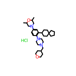 CC1CN(c2ccc(N3CCN(CC4CCOCC4)CC3)c(C3CCC4(CCCC4)CC3)c2)CC(C)O1.Cl